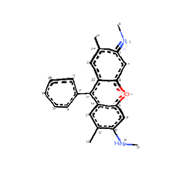 C/N=c1/cc2oc3cc(NC)c(C)cc3c(-c3ccccc3)c-2cc1C